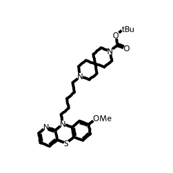 COc1ccc2c(c1)N(CCCCCN1CCC3(CC1)CCN(C(=O)OC(C)(C)C)CC3)c1ncccc1S2